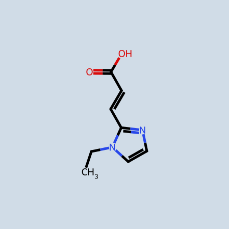 CCn1ccnc1/C=C/C(=O)O